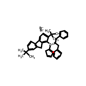 CC(C)(C)c1ccc2c(c1)Cc1c-2ccc(C(C)(C)C)[c]1[Zr+2]([C]1=CC=CC1)=[C](Cc1ccccc1)Cc1ccccc1.[Br-].[Br-]